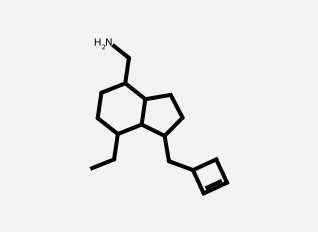 CCC1CCC(CN)C2CCC(CC3C=CC3)C12